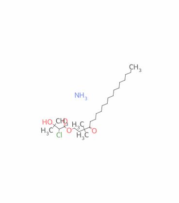 CCCCCCCCCCCCCCCC(=O)C(C)(C)CCOC(=O)C(Cl)C(C)(C)O.N